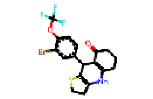 O=C1CCCC2=C1C(c1ccc(OC(F)(F)F)c(Br)c1)C1=C(CCS1)N2